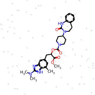 COC(=O)C(Cc1cc(C)c2[nH]c(N(C)C)nc2c1)OC(=O)N1CCC(N2CCc3ccccc3NC2=O)CC1